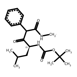 [CH2]NC(=O)C(C(=O)[C@H](CC(C)C)NC(=O)OC(C)(C)C)c1ccccc1